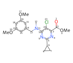 COC(=O)c1nc(C2CC2)nc(N(C)Cc2cc(OC)cc(OC)c2)c1Cl